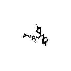 CC(c1ccc(Cl)cc1)C(CNC(=O)C(C)(C)CNC1CC1)c1ccc(Cl)cc1